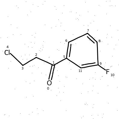 O=C(CCCl)c1cccc(F)c1